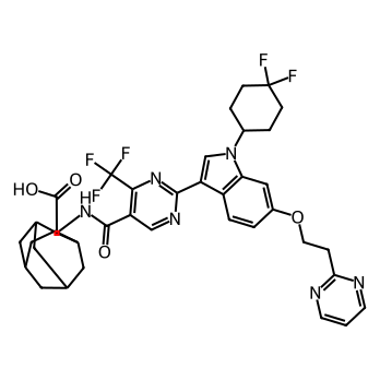 O=C(NC1(C(=O)O)C2CCC3CC(C2)CC1C3)c1cnc(-c2cn(C3CCC(F)(F)CC3)c3cc(OCCc4ncccn4)ccc23)nc1C(F)(F)F